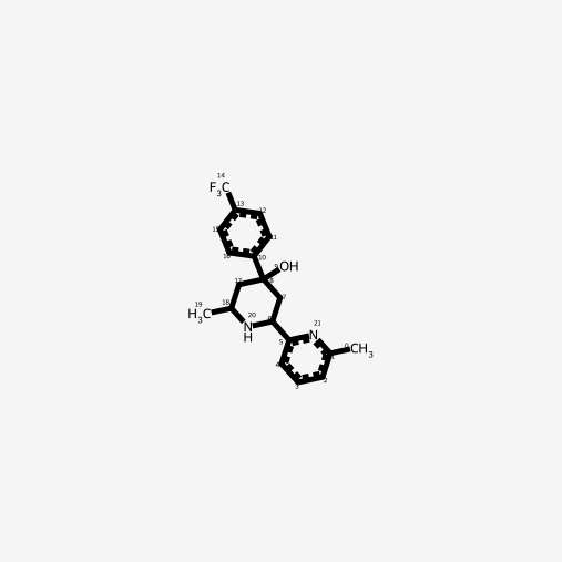 Cc1cccc(C2CC(O)(c3ccc(C(F)(F)F)cc3)CC(C)N2)n1